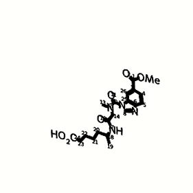 COC(=O)c1ccc2ncn(C(=O)N(C)CC(=O)NC(C)CCCCC(=O)O)c2c1